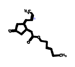 C/C=C\CC1CC(=O)CC1CC(=O)OCCCCCC